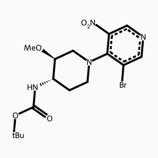 CO[C@H]1CN(c2c(Br)cncc2[N+](=O)[O-])CC[C@@H]1NC(=O)OC(C)(C)C